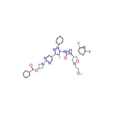 COCCN1C[C@@H](NC(=O)Nc2c(C)c(-c3cnc(N4CC(OC(=O)c5ccccc5)C4)nc3)nn2-c2ccccc2)[C@H](c2cc(F)nc(F)c2)O1